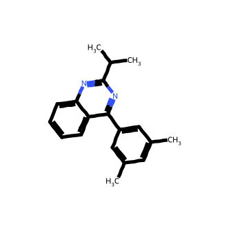 Cc1cc(C)cc(-c2nc(C(C)C)nc3ccccc23)c1